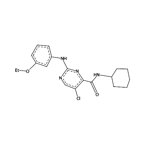 CCOc1cccc(Nc2ncc(Cl)c(C(=O)NC3CCCCC3)n2)c1